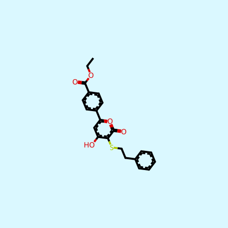 CCOC(=O)c1ccc(-c2cc(O)c(SCCc3ccccc3)c(=O)o2)cc1